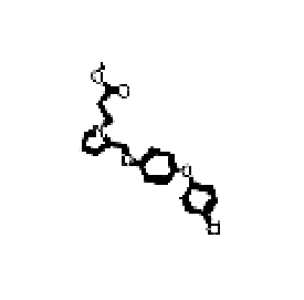 COC(=O)CCN1CCCC1COc1ccc(Oc2ccc(Cl)cc2)cc1